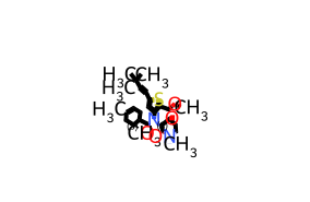 COC(=O)c1sc(C#CC(C)(C)C)cc1N(C(=O)C1CC=C(C)C[C@@H]1C)[C@H]1CCCN(C)C1=O